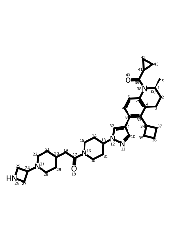 C[C@H]1CCc2c(ccc(-c3cnn(C4CCN(C(=O)CC5CCN(C6CNC6)CC5)CC4)c3)c2C2CCC2)N1C(=O)C1CC1